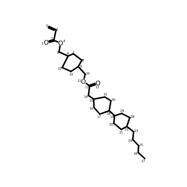 C=CC(=O)OCC1CCC(COC(=O)CC2CCC(C3CCC(CCCCC)CC3)CC2)CC1